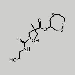 CC(CO)(COC(=O)NCCO)C(=O)OC1CSCCCSC1